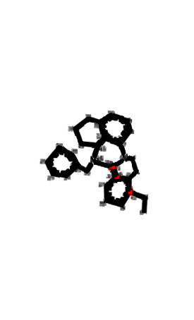 CCCN1CCN(c2cccc3c2C(N(Cc2ccccc2)Cc2ccccc2)CCC3)CC1